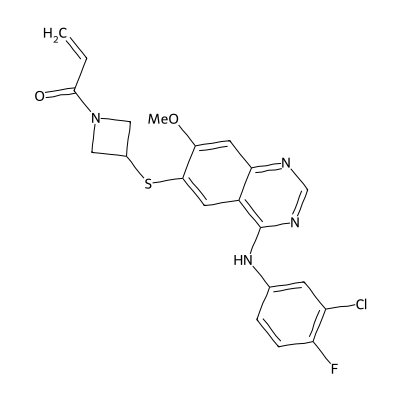 C=CC(=O)N1CC(Sc2cc3c(Nc4ccc(F)c(Cl)c4)ncnc3cc2OC)C1